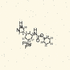 O=C(Nc1cc(-c2cn[nH]c2)cc(C(F)(F)F)c1)Oc1ccccc1